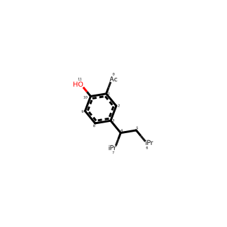 CC(=O)c1cc(C(CC(C)C)C(C)C)ccc1O